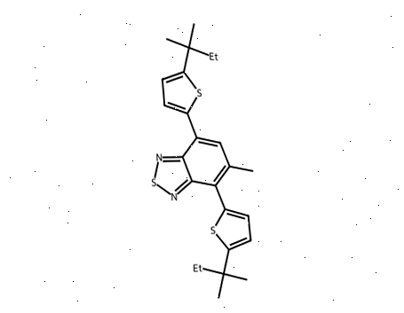 CCC(C)(C)c1ccc(-c2cc(C)c(-c3ccc(C(C)(C)CC)s3)c3nsnc23)s1